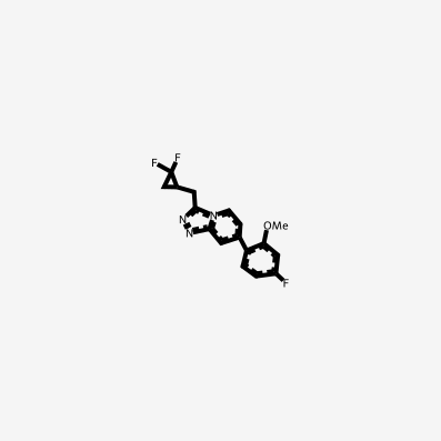 COc1cc(F)ccc1-c1ccn2c(CC3CC3(F)F)nnc2c1